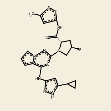 Cc1cc(NC(=O)[C@@H]2C[C@@H](F)CN2c2nc(Nc3cc(C4CC4)[nH]n3)c3cccn3n2)sn1